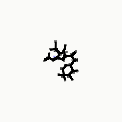 C=C(C)/C=c1/cc(C(=C)NC2CCC(C)(C)C(C)C2C)n(C)c1=C(C)C